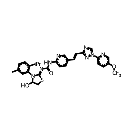 Cc1ccc(C(C)C)c(N2/C(=N/C(=O)Nc3ccc(/C=C/c4ncn(-c5ccc(OC(F)(F)F)cn5)n4)cn3)SCC2O)c1